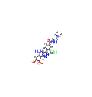 CCN(CC)CCNC(=O)c1ccc(-c2nnn(-c3ccc(O)c(O)c3)c2N)cc1.Cl